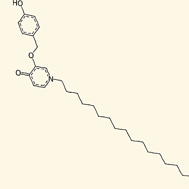 CCCCCCCCCCCCCCCCCCn1ccc(=O)c(OCc2ccc(O)cc2)c1